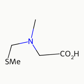 CSCN(C)CC(=O)O